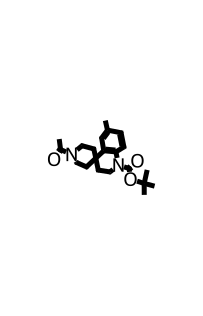 CC(=O)N1CCC2(CC1)CCN(C(=O)OC(C)(C)C)c1ccc(C)cc12